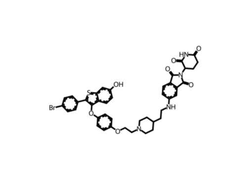 O=C1CCC(N2C(=O)c3ccc(NCCC4CCN(CCOc5ccc(Oc6c(-c7ccc(Br)cc7)sc7cc(O)ccc67)cc5)CC4)cc3C2=O)C(=O)N1